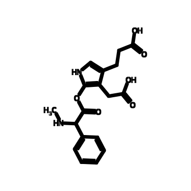 CNC(C(=O)Oc1[nH]cc(CCC(=O)O)c1CC(=O)O)c1ccccc1